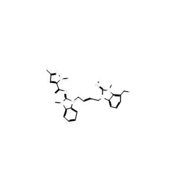 CCn1nc(C)cc1C(=O)/N=c1\n(C)c2ccccc2n1C/C=C/Cn1/c(=N/C=O)n(C)c2c(CCl)cccc21